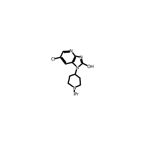 CC(C)N1CCC(n2c(O)nc3ncc(Cl)cc32)CC1